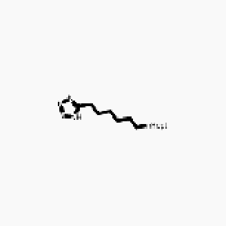 CCCCCCCCCC[CH]CCc1nnn[nH]1